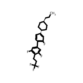 CCC[C@H]1CC[C@H](c2ccc(-c3cc(F)c(CCC(F)(F)F)c(F)c3)c(F)c2)CC1